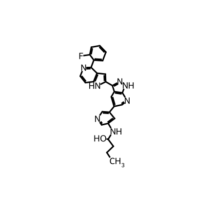 CCCC(O)Nc1cncc(-c2cnc3[nH]nc(-c4cc5c(-c6ccccc6F)nccc5[nH]4)c3c2)c1